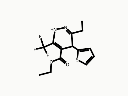 CCOC(=O)C1=C(C(F)(F)F)NN=C(CC)C1c1cccs1